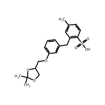 Cc1ccc(S(=O)(=O)O)c(Cc2cccc(OCC3COC(C)(C)O3)c2)c1